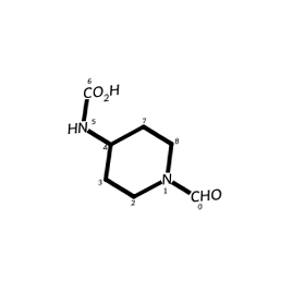 O=CN1CCC(NC(=O)O)CC1